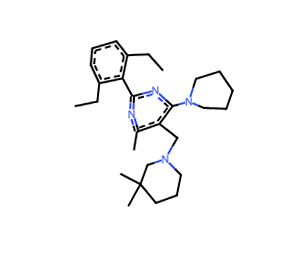 CCc1cccc(CC)c1-c1nc(C)c(CN2CCCC(C)(C)C2)c(N2CCCCC2)n1